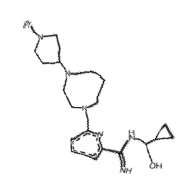 CC(C)N1CCC(N2CCCN(c3cccc(C(=N)NC(O)C4CC4)n3)CC2)CC1